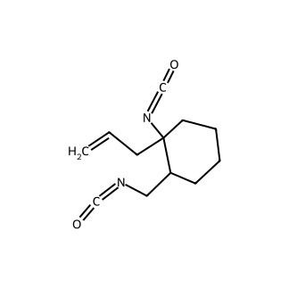 C=CCC1(N=C=O)CCCCC1CN=C=O